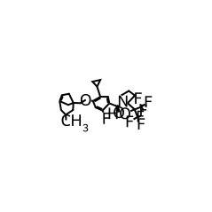 CC1CC2=CCC(COc3cc(F)c(C(=O)N4CCCC4C(O)(C(F)(F)F)C(F)(F)F)cc3C3CC3)(C2)C1